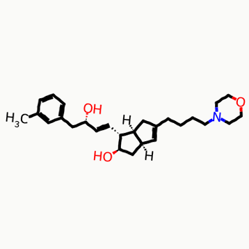 Cc1cccc(C[C@H](O)/C=C/[C@@H]2[C@H]3CC(CCCCN4CCOCC4)=C[C@H]3C[C@H]2O)c1